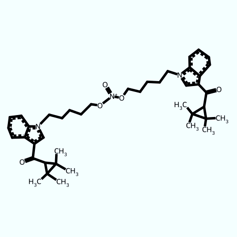 CC1(C)C(C(=O)c2cn(CCCCCO[N+](=O)OCCCCCn3cc(C(=O)C4C(C)(C)C4(C)C)c4ccccc43)c3ccccc23)C1(C)C